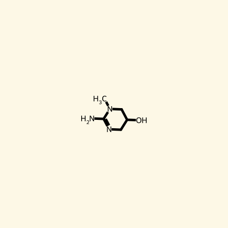 CN1CC(O)CN=C1N